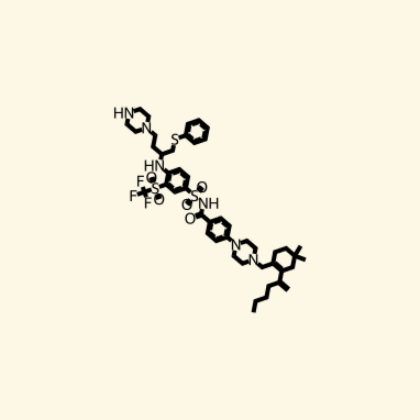 C=C(CCCC)C1=C(CN2CCN(c3ccc(C(=O)NS(=O)(=O)c4ccc(NC(CCN5CCNCC5)CSc5ccccc5)c(S(=O)(=O)C(F)(F)F)c4)cc3)CC2)CCC(C)(C)C1